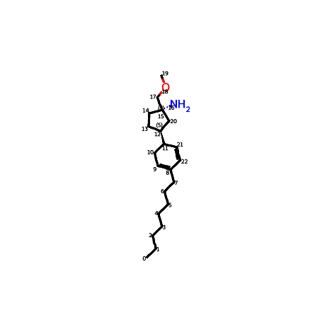 CCCCCCCCC1=CCC([C@H]2CC[C@@](N)(COC)C2)C=C1